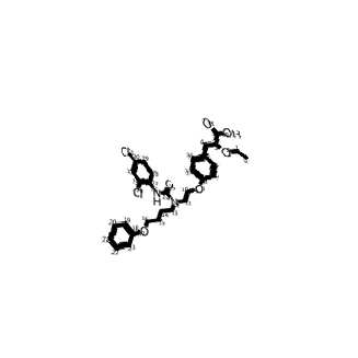 CCOC(Cc1ccc(OCCN(CCCCOc2ccccc2)C(=O)Nc2ccc(Cl)cc2Cl)cc1)C(=O)O